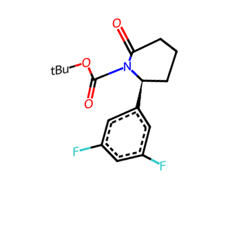 CC(C)(C)OC(=O)N1C(=O)CCC[C@H]1c1cc(F)cc(F)c1